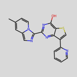 Cc1ccn2c(-c3nc(O)c4scc(-c5ccccn5)c4n3)ncc2c1